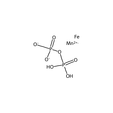 O=P([O-])([O-])OP(=O)(O)O.[Fe].[Mn+2]